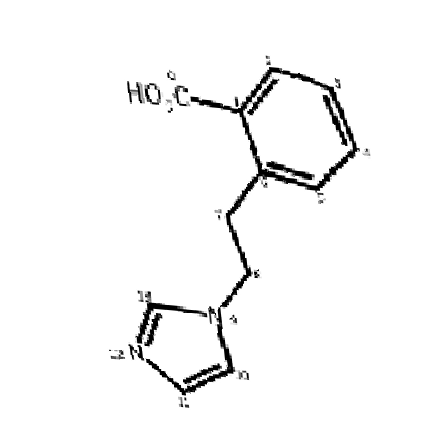 O=C(O)c1ccccc1CCn1ccnc1